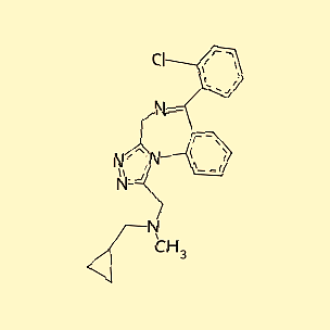 CN(Cc1nnc2n1-c1ccccc1C(c1ccccc1Cl)=NC2)CC1CC1